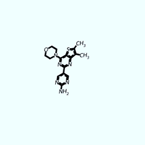 Cc1sc2c(N3CCOCC3)nc(-c3cnc(N)nc3)nc2c1C